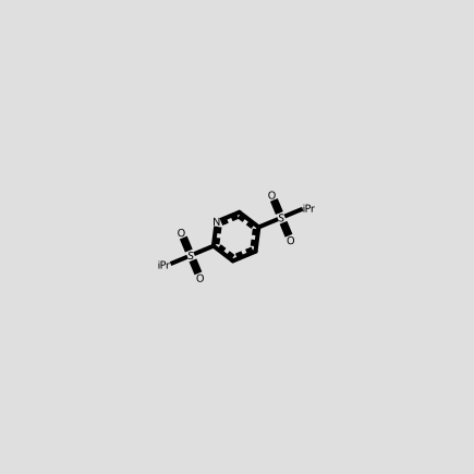 CC(C)S(=O)(=O)c1ccc(S(=O)(=O)C(C)C)nc1